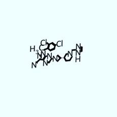 CC(c1ccc(Cl)cc1Cl)n1nc(C#N)c2ncc(N3CC([C@H]4CCCN(Cc5ncc[nH]5)C4)C3)nc21